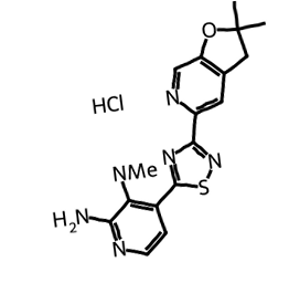 CNc1c(-c2nc(-c3cc4c(cn3)OC(C)(C)C4)ns2)ccnc1N.Cl